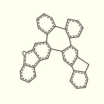 c1ccc2c(c1)Cc1cc3c(cc1-2)-c1cc2c(cc1-c1ccccc1-c1ccccc1-3)oc1ccccc12